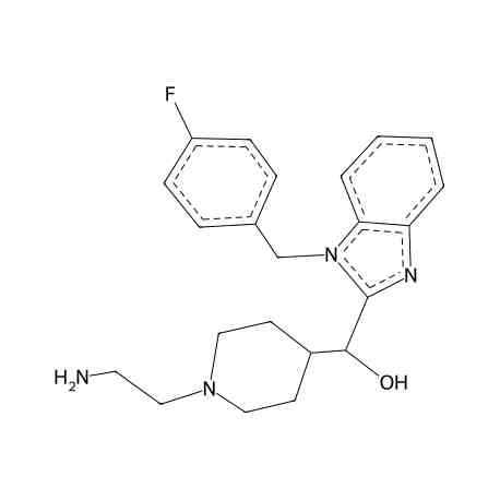 NCCN1CCC(C(O)c2nc3ccccc3n2Cc2ccc(F)cc2)CC1